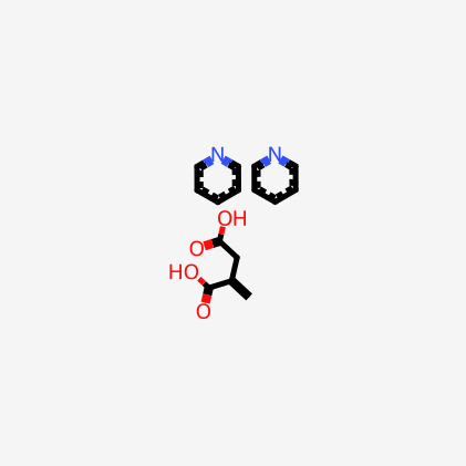 C=C(CC(=O)O)C(=O)O.c1ccncc1.c1ccncc1